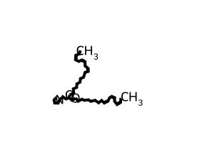 CC/C=C\C/C=C\C/C=C\CCCCCCCCOCC(CCN1CCCC1)OCCCCCCCC/C=C\C/C=C\C/C=C\CC